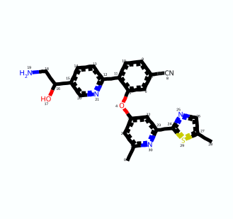 Cc1cc(Oc2cc(C#N)ccc2-c2ccc(C(O)CN)cn2)cc(-c2ncc(C)s2)n1